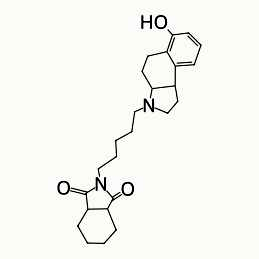 O=C1C2CCCCC2C(=O)N1CCCCCN1CCC2c3cccc(O)c3CCC21